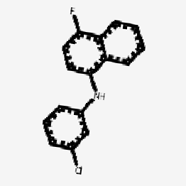 Fc1ccc(Nc2cccc(Cl)c2)c2ccccc12